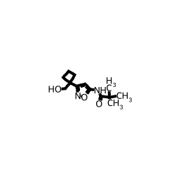 CC(C)(C)C(=O)Nc1cc(C2(CO)CCC2)no1